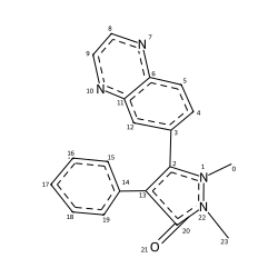 Cn1c(-c2ccc3nccnc3c2)c(-c2c[c]ccc2)c(=O)n1C